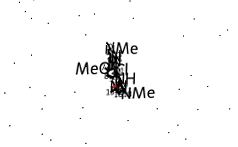 CNCc1cn(-c2c(OC)ccc(Nc3nc(C)cc(NC)n3)c2Cl)nn1